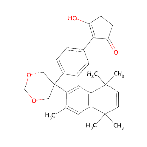 Cc1cc2c(cc1C1(c3ccc(C4=C(O)CCC4=O)cc3)COCOC1)C(C)(C)C=CC2(C)C